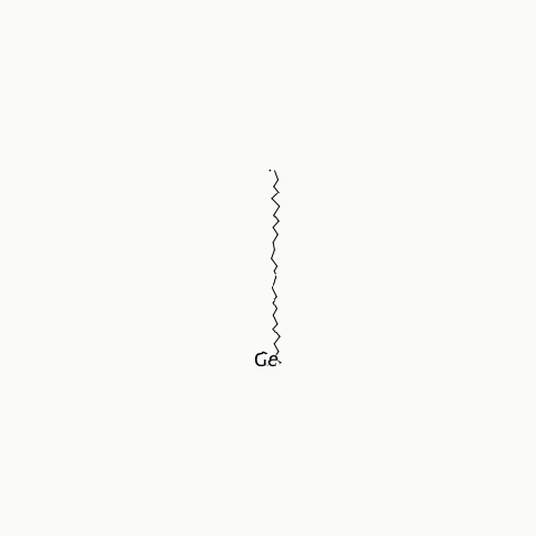 [CH2]CCCCCCCCCCCCCCCCCCCCCCCC[CH2][Ge]([CH3])([CH3])[CH3]